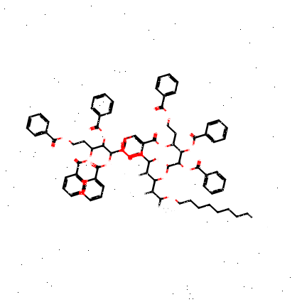 COC(OCCCCCCCCC(=O)O)C(OC(C)=O)C(OC(O)C(OC(=O)c1ccccc1)C(OC(=O)c1ccccc1)C(CCOC(=O)c1ccccc1)OC(=O)c1ccccc1)C(OC(C)=O)C(C)COC(O)C(OC(=O)c1ccccc1)C(OC(=O)c1ccccc1)C(CCOC(=O)c1ccccc1)OC(=O)c1ccccc1